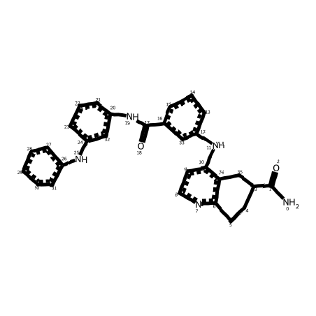 NC(=O)C1CCc2nccc(Nc3cccc(C(=O)Nc4cccc(Nc5ccccc5)c4)c3)c2C1